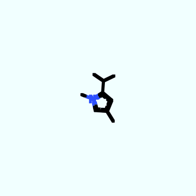 Cc1cc(C(C)C)n(C)c1